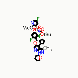 COc1ncc(F)cc1S(=O)(=O)N(C(=O)OC(C)(C)C)c1ccc(F)c(COc2cnc3c(c(C)nn3C3CCCCO3)c2C2CCCC2)c1F